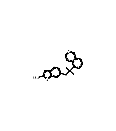 CC(C)(C)c1cc2ccc(CC(C)(C)c3cccc4cnccc34)cc2s1